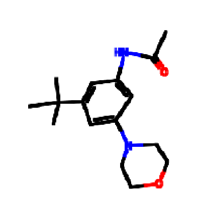 CC(=O)Nc1cc(N2CCOCC2)cc(C(C)(C)C)c1